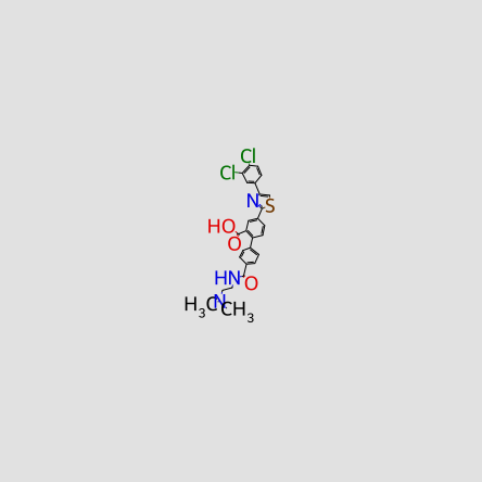 CN(C)CCNC(=O)c1ccc(-c2ccc(-c3nc(-c4ccc(Cl)c(Cl)c4)cs3)cc2C(=O)O)cc1